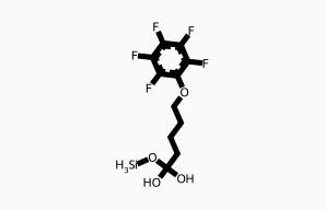 OC(O)(CCCCOc1c(F)c(F)c(F)c(F)c1F)O[SiH3]